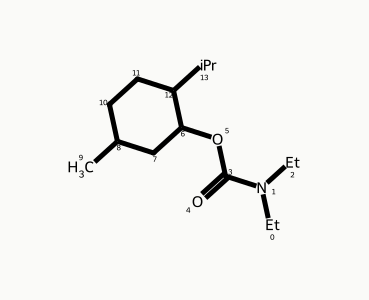 CCN(CC)C(=O)OC1CC(C)CCC1C(C)C